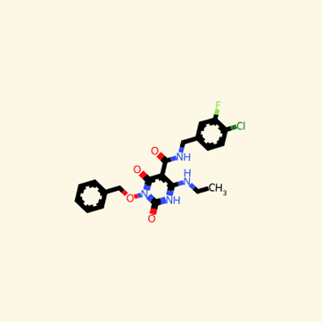 CCNc1[nH]c(=O)n(OCc2ccccc2)c(=O)c1C(=O)NCc1ccc(Cl)c(F)c1